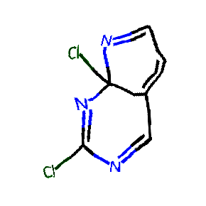 ClC1=NC2(Cl)N=CC=C2C=N1